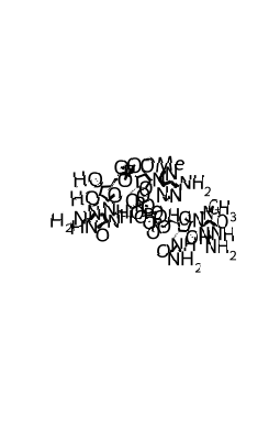 CO[C@@H]1[C@H](P(=O)([O-])OC[C@H]2O[C@@H](n3cnc4c(=O)[nH]c(N)nc43)[C@H](O)[C@@H]2O)[C@@H](COP(=O)(O)OP(=O)(O)OP(=O)(O)OC[C@H]2O[C@@H](n3c[n+](C)c4c(=O)[nH]c(N)nc43)[C@H](O)[C@@H]2CNC(N)=O)O[C@H]1n1cnc2c(N)ncnc21